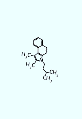 Cc1c(C)n(CCC(C)C)c2ccc3ccccc3c12